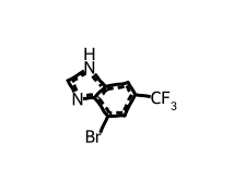 FC(F)(F)c1cc(Br)c2nc[nH]c2c1